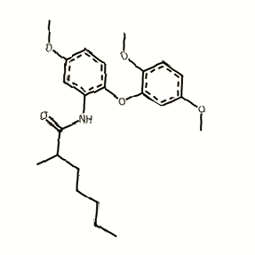 CCCCCC(C)C(=O)Nc1cc(OC)ccc1Oc1cc(OC)ccc1OC